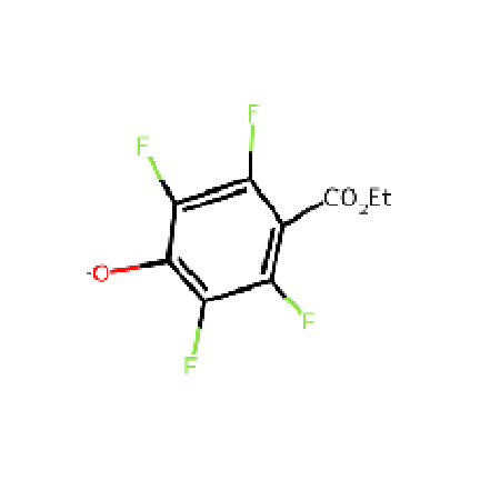 CCOC(=O)c1c(F)c(F)c([O])c(F)c1F